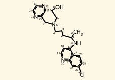 CC(CCCN(CCO)Cc1cnccn1)Nc1ccnc2cc(Cl)ccc12